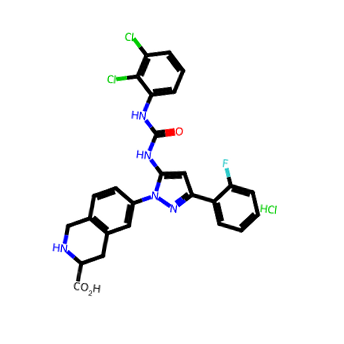 Cl.O=C(Nc1cccc(Cl)c1Cl)Nc1cc(-c2ccccc2F)nn1-c1ccc2c(c1)CC(C(=O)O)NC2